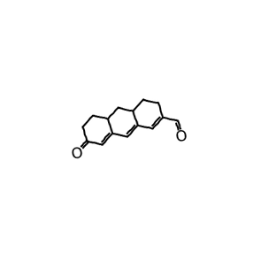 O=CC1=CC2=CC3=CC(=O)CCC3CC2CC1